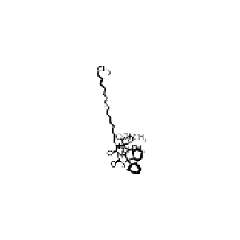 CCCCCCCSCCCCCCC=C[C@H](C(=O)N1C(=O)SC(c2ccccc2)(c2ccccc2)[C@@H]1C(C)C)[C@@](O)(COC)C(=O)O